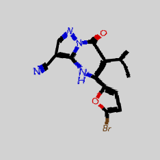 CC(C)c1c(-c2ccc(Br)o2)[nH]c2c(C#N)cnn2c1=O